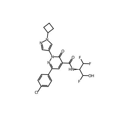 O=C(N[C@H](C(O)F)C(F)F)c1cc(-c2ccc(Cl)cc2)nn(-c2cnn(C3CCC3)c2)c1=O